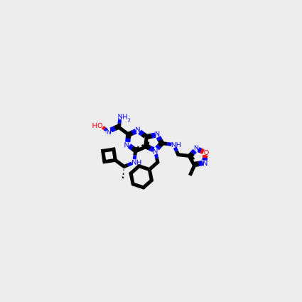 Cc1nonc1CNc1nc2nc(/C(N)=N/O)nc(N[C@H](C)C3CCC3)c2n1CC1CCCCC1